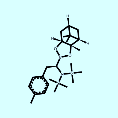 Cc1ccc(C[C@@H](B2O[C@@H]3C[C@@H]4C[C@@H](C4(C)C)[C@]3(C)O2)N([Si](C)(C)C)[Si](C)(C)C)cc1